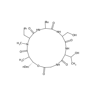 CCCCCCCCCC[C@H]1OC(=O)CNC(=O)C(C(C)O)NC(=O)C(CO)NC(=O)C(C(C)CC)NC(=O)C(CC(C)C)N(C)C(=O)C1C